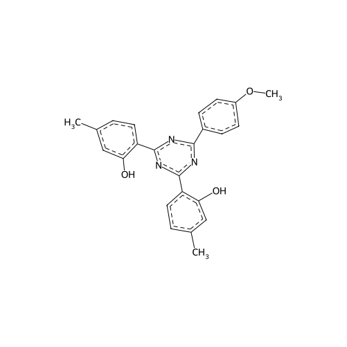 COc1ccc(-c2nc(-c3ccc(C)cc3O)nc(-c3ccc(C)cc3O)n2)cc1